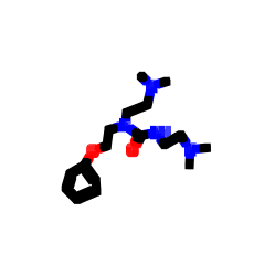 CN(C)CCNC(=O)N(CCOc1ccccc1)CCN(C)C